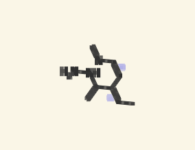 C=N/C=C\C(=C/C)C(=C)NN